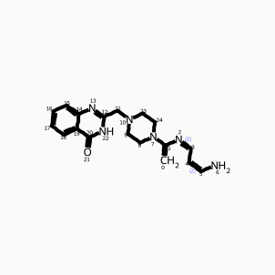 C=C(/N=C\C=C/N)N1CCN(Cc2nc3ccccc3c(=O)[nH]2)CC1